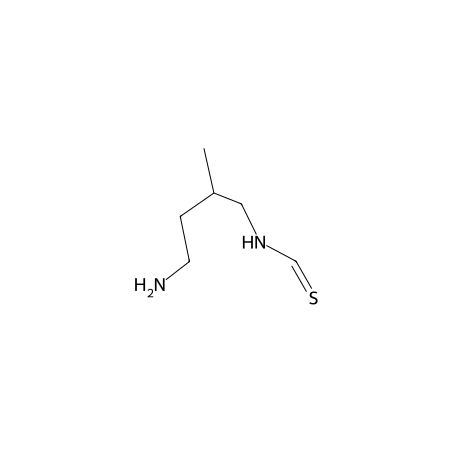 CC(CCN)CNC=S